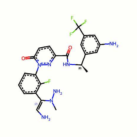 C[C@@H](NC(=O)c1ccc(=O)n(-c2cccc(/C(=C/N)N(C)N)c2F)n1)c1cc(N)cc(C(F)(F)F)c1